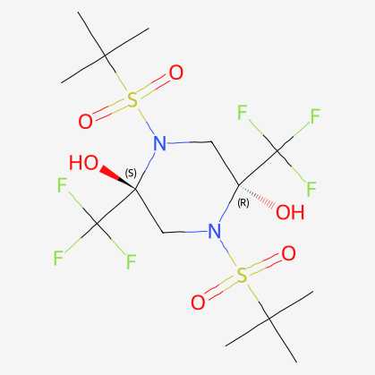 CC(C)(C)S(=O)(=O)N1C[C@@](O)(C(F)(F)F)N(S(=O)(=O)C(C)(C)C)C[C@]1(O)C(F)(F)F